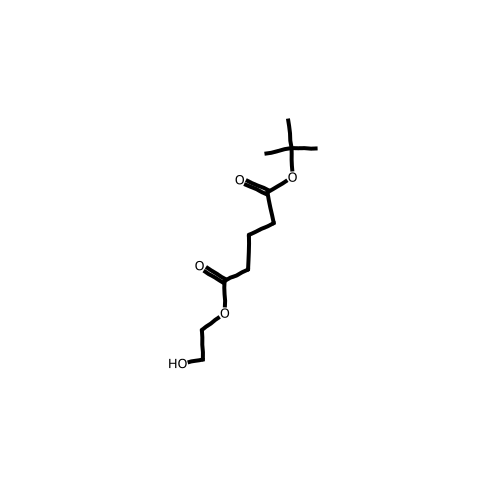 CC(C)(C)OC(=O)CCCC(=O)OCCO